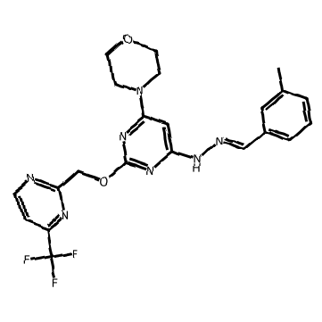 Cc1cccc(C=NNc2cc(N3CCOCC3)nc(OCc3nccc(C(F)(F)F)n3)n2)c1